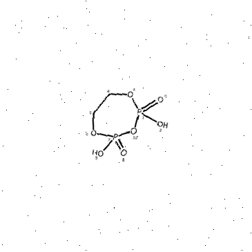 O=P1(O)OCCOP(=O)(O)O1